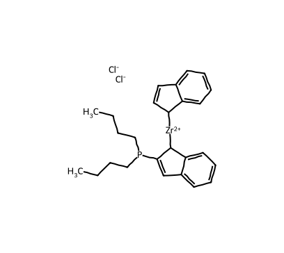 CCCCP(CCCC)C1=Cc2ccccc2[CH]1[Zr+2][CH]1C=Cc2ccccc21.[Cl-].[Cl-]